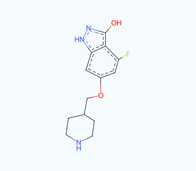 Oc1n[nH]c2cc(OCC3CCNCC3)cc(F)c12